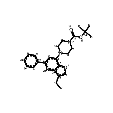 CCc1coc2c(N3CCN(C(=O)OC(C)(C)C)CC3)cc(-c3ccccc3)nc12